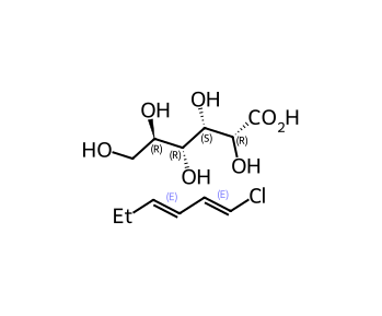 CC/C=C/C=C/Cl.O=C(O)[C@H](O)[C@@H](O)[C@H](O)[C@H](O)CO